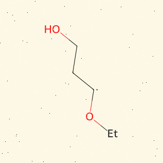 CCO[CH]CCO